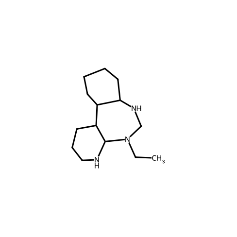 CCN1CNC2CCCCC2C2CCCNC21